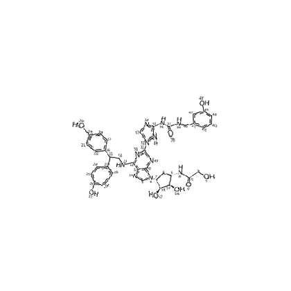 O=C(CO)N[C@H]1C[C@@H](n2cnc3c(NCC(c4ccc(O)cc4)c4ccc(O)cc4)nc(-n4cnc(NC(=O)NCc5cccc(O)c5)n4)nc32)[C@H](O)[C@@H]1O